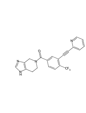 O=C(c1ccc(C(F)(F)F)c(C#Cc2ccccn2)c1)N1CCc2[nH]cnc2C1